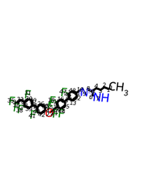 CCCCC/C(C=N)=C/N=C/c1ccc(-c2cc(F)c(C(F)(F)Oc3ccc(-c4cc(F)c(C=C(F)F)c(F)c4)c(F)c3)c(F)c2)c(F)c1